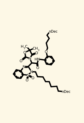 CCCCCCCCCCCCCCCCCCN1C(C(C(=O)Nc2ccccc2OCCCCCCCCCCCCCC)N2C(=O)OC(C)(C)C2=O)=Nc2ccccc2S1(=O)=O